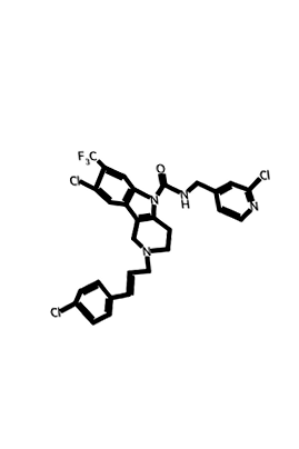 O=C(NCc1ccnc(Cl)c1)n1c2c(c3cc(Cl)c(C(F)(F)F)cc31)CN(C/C=C/c1ccc(Cl)cc1)CC2